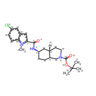 Cn1c(C(=O)N[C@@H]2CCC3CN(C(=O)OC(C)(C)C)CC[C@H]3C2)cc2cc(Cl)ccc21